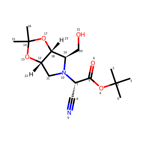 CC(C)(C)OC(=O)[C@H](C#N)N1C[C@@H]2OC(C)(C)O[C@@H]2[C@H]1CO